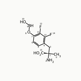 C[C@](N)(Cc1ccc(OBO)c(F)c1F)C(=O)O